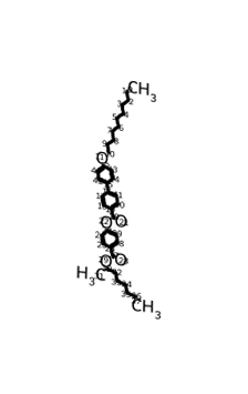 CCCCCCCCCCCOc1ccc(-c2ccc(C(=O)Oc3ccc(C(=O)OC(C)CCCCCC)cc3)cc2)cc1